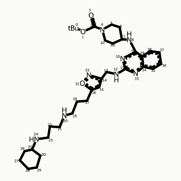 CC(C)(C)OC(=O)N1CCC(Nc2nc(NCc3cc(CCCNCCCNC4CCCCC4)on3)nc3ccccc23)CC1